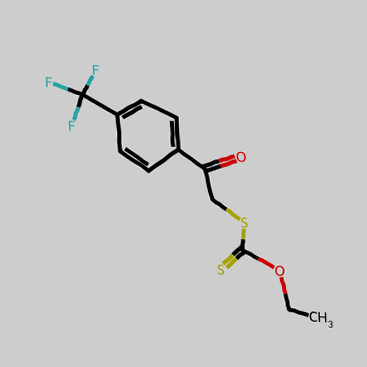 CCOC(=S)SCC(=O)c1ccc(C(F)(F)F)cc1